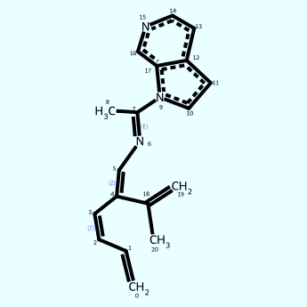 C=C\C=C/C(=C/N=C(\C)n1ccc2ccncc21)C(=C)C